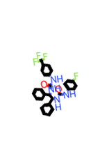 O=C(Nc1ccc(F)cc1)NC(c1ccccc1)C(NC(=O)Nc1ccc(C(F)(F)F)cc1)c1ccccc1